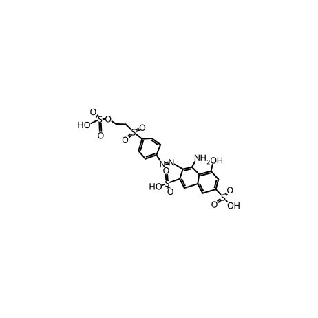 Nc1c(N=Nc2ccc(S(=O)(=O)CCOS(=O)(=O)O)cc2)c(S(=O)(=O)O)cc2cc(S(=O)(=O)O)cc(O)c12